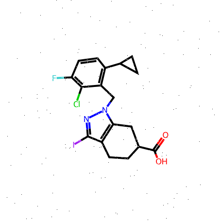 O=C(O)C1CCc2c(I)nn(Cc3c(C4CC4)ccc(F)c3Cl)c2C1